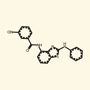 O=Nc1cccc(C(=O)Nc2cccc3sc(Nc4ccccc4)nc23)c1